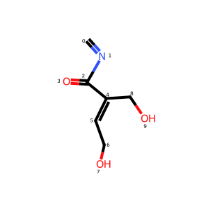 C=NC(=O)C(=CCO)CO